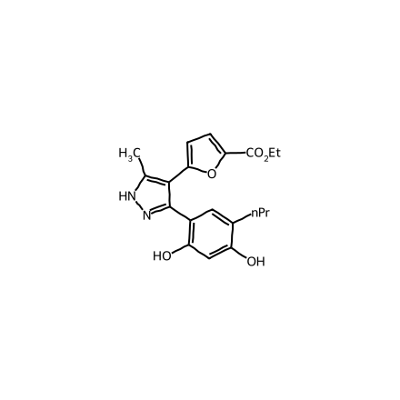 CCCc1cc(-c2n[nH]c(C)c2-c2ccc(C(=O)OCC)o2)c(O)cc1O